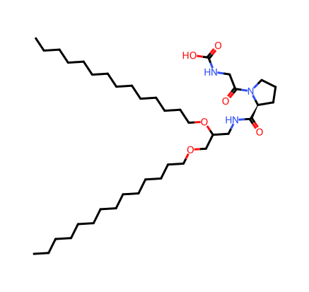 CCCCCCCCCCCCCCOCC(CNC(=O)[C@@H]1CCCN1C(=O)CNC(=O)O)OCCCCCCCCCCCCCC